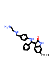 CCOC(=O)c1ccc2c(c1)NC(=O)/C2=C(\Nc1ccc(CNCCN)cc1)c1ccccc1